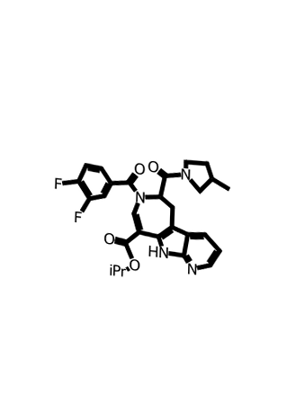 CC1CCN(C(=O)C2Cc3c([nH]c4ncccc34)C(C(=O)OC(C)C)=CN2C(=O)c2ccc(F)c(F)c2)C1